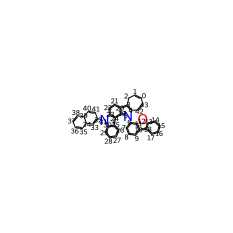 C1=CCc2c(n(-c3cccc4c3oc3ccccc34)c3c2ccc2c3c3ccccc3n2C2=CC3C=CC=CC3C=C2)C=C1